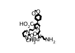 CCCCN(CCN)C(=O)CN1C[C@H](c2ccc3c(c2)OCO3)[C@@H](C(=O)O)[C@@H]1CCN1CCCN(C)C1=O